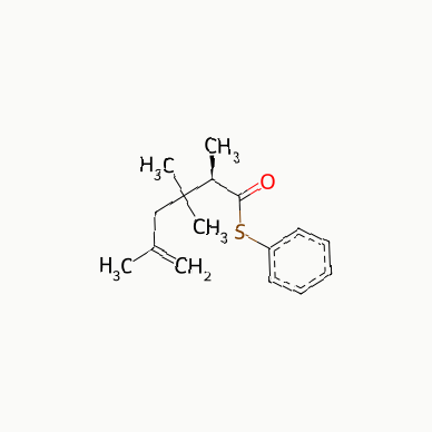 C=C(C)CC(C)(C)[C@@H](C)C(=O)Sc1ccccc1